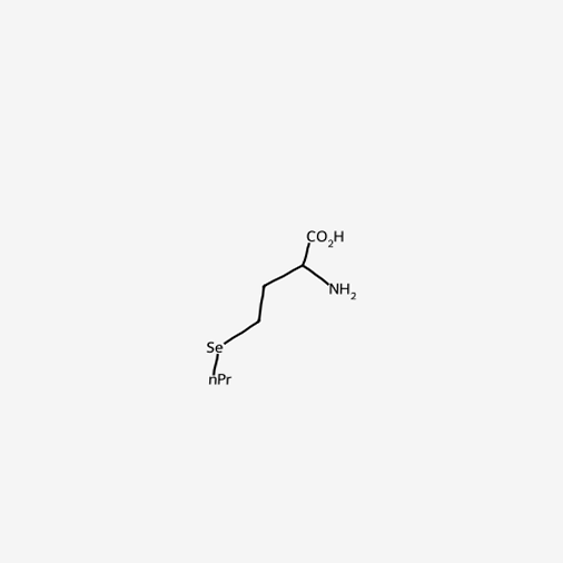 CCC[Se]CCC(N)C(=O)O